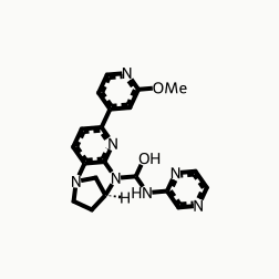 COc1cc(-c2ccc3c(n2)N(C(O)Nc2cnccn2)[C@H]2CCN3C2)ccn1